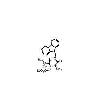 CCOC(=O)C[C@@H](C(=O)N(C)C)N(C)C(=O)OCC1c2ccccc2-c2ccccc21